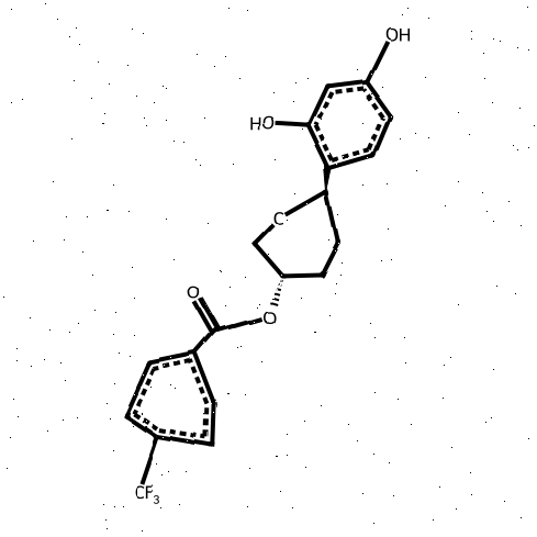 O=C(O[C@H]1CC[C@H](c2ccc(O)cc2O)CC1)c1ccc(C(F)(F)F)cc1